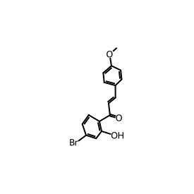 COc1ccc(/C=C/C(=O)c2ccc(Br)cc2O)cc1